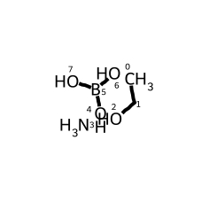 CCO.N.OB(O)O